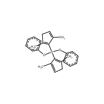 CC1=CCC(C)=[C]1[Zr]([O]c1ccccc1)([O]c1ccccc1)[C]1=C(C)CC=C1C